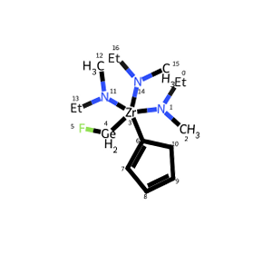 CC[N](C)[Zr]([GeH2][F])([C]1=CC=CC1)([N](C)CC)[N](C)CC